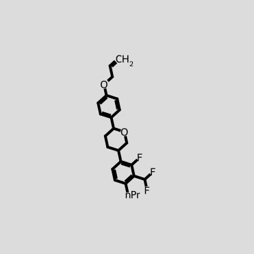 C=CCOc1ccc(C2CCC(c3ccc(CCC)c(C(F)F)c3F)CO2)cc1